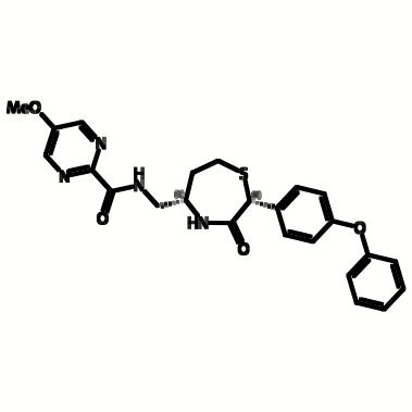 COc1cnc(C(=O)NC[C@@H]2CCS[C@H](c3ccc(Oc4ccccc4)cc3)C(=O)N2)nc1